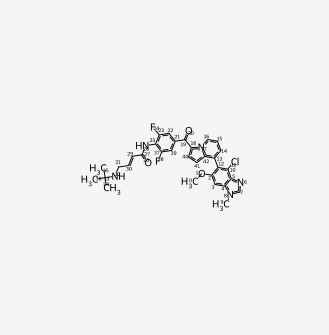 COc1cc2c(ncn2C)c(Cl)c1-c1cccn2c(C(=O)c3cc(F)c(NC(=O)/C=C/CNC(C)(C)C)c(F)c3)ccc12